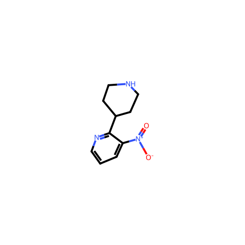 O=[N+]([O-])c1cccnc1C1CCNCC1